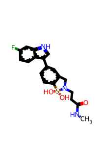 CNC(=O)CCN1Cc2cc(-c3c[nH]c4cc(F)ccc34)ccc2S1(O)O